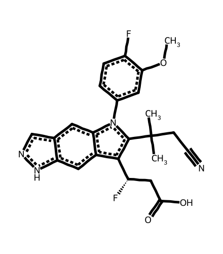 COc1cc(-n2c(C(C)(C)CC#N)c([C@@H](F)CC(=O)O)c3cc4[nH]ncc4cc32)ccc1F